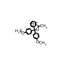 [CH2]C(C)OC(c1ccccc1)(c1ccc(OC)cc1)c1ccc(OC)cc1